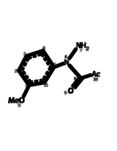 COc1cccc(N(N)C(=O)C(C)=O)c1